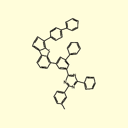 Cc1cccc(-c2nc(-c3ccccc3)nc(-c3cc(-c4ccccc4)cc(-c4cccc5c4sc4c(-c6ccc(-c7ccccc7)cc6)cccc45)c3)n2)c1